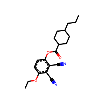 CCCC1CCC(C(=O)Oc2ccc(OCC)c(C#N)c2C#N)CC1